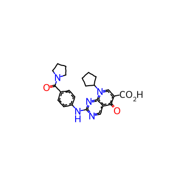 O=C(O)c1cn(C2CCCC2)c2nc(Nc3ccc(C(=O)N4CCCC4)cc3)ncc2c1=O